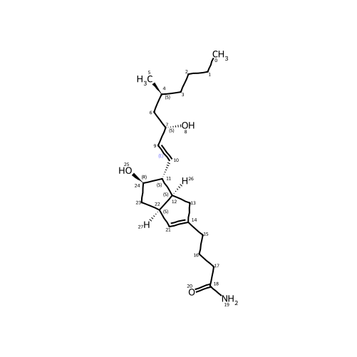 CCCC[C@H](C)C[C@H](O)/C=C/[C@@H]1[C@H]2CC(CCCC(N)=O)=C[C@H]2C[C@H]1O